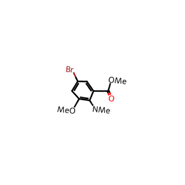 CNc1c(OC)cc(Br)cc1C(=O)OC